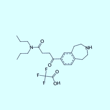 CCCN(CCC)C(=O)CCC(=O)c1ccc2c(c1)CCNCC2.O=C(O)C(F)(F)F